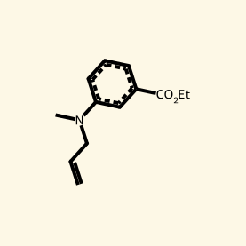 C=CCN(C)c1cccc(C(=O)OCC)c1